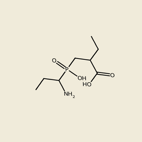 CCC(CP(=O)(O)C(N)CC)C(=O)O